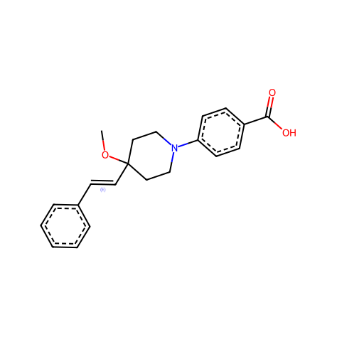 COC1(/C=C/c2ccccc2)CCN(c2ccc(C(=O)O)cc2)CC1